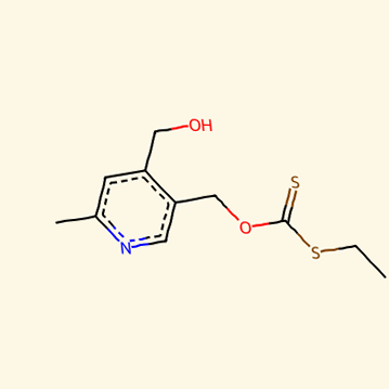 CCSC(=S)OCc1cnc(C)cc1CO